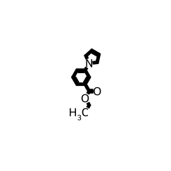 CCOC(=O)c1cccc(N2CC=CC2)c1